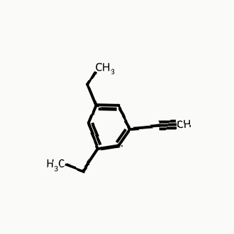 C#Cc1[c]c(CC)cc(CC)c1